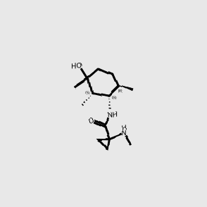 CNC1(C(=O)N[C@H]2[C@H](C)CCC(C)(O)[C@H]2C)CC1